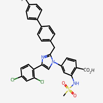 CS(=O)(=O)Nc1cc(-n2cc(-c3ccc(Cl)cc3Cl)nc2Cc2ccc(-c3ccc(C(F)(F)F)cc3)cc2)ccc1C(=O)O